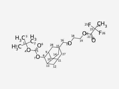 CC(C)(C)OC(=O)OC1C2CC3CC1CC(COCCOC(=O)C(C)(F)F)(C3)C2